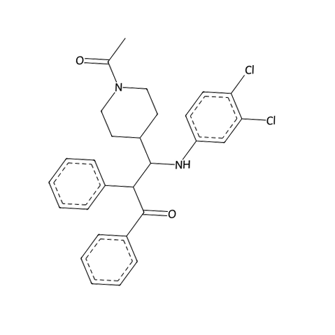 CC(=O)N1CCC(C(Nc2ccc(Cl)c(Cl)c2)C(C(=O)c2ccccc2)c2ccccc2)CC1